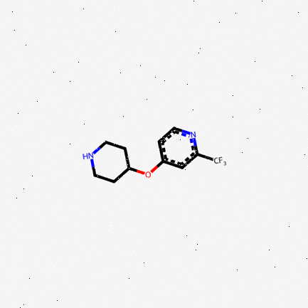 FC(F)(F)c1cc(OC2CCNCC2)ccn1